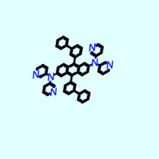 c1ccc(-c2cccc(-c3c4ccc(N(c5cccnc5)c5cccnc5)cc4c(-c4cccc(-c5ccccc5)c4)c4ccc(N(c5cccnc5)c5cccnc5)cc34)c2)cc1